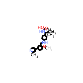 COc1ccc(-c2ccnc(C)c2)cc1CNC1CCC(C(NC(=O)O)C(C)(C)C)CC1